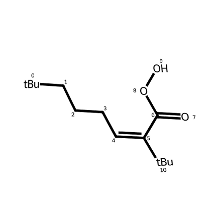 CC(C)(C)CCCC=C(C(=O)OO)C(C)(C)C